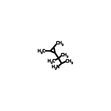 CC1C(C)C1C(C)(C)C(C)N